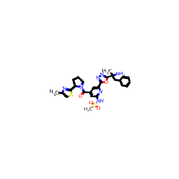 Cc1csc(C2CCCN2C(=O)c2cc(NS(C)(=O)=O)nc(-c3nnc(C(C)(N)Cc4ccccc4)o3)c2)n1